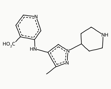 Cc1nn(C2CCNCC2)cc1Nc1cnccc1C(=O)O